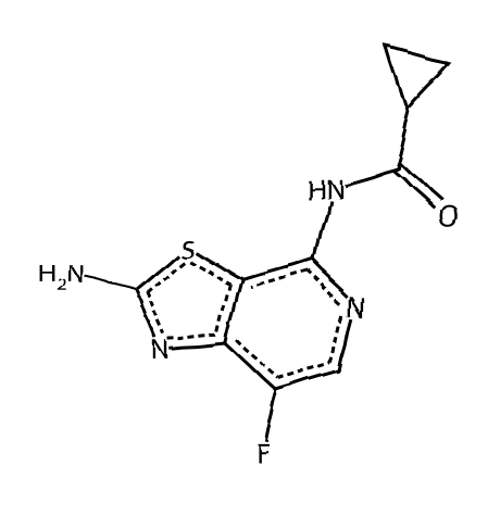 Nc1nc2c(F)cnc(NC(=O)C3CC3)c2s1